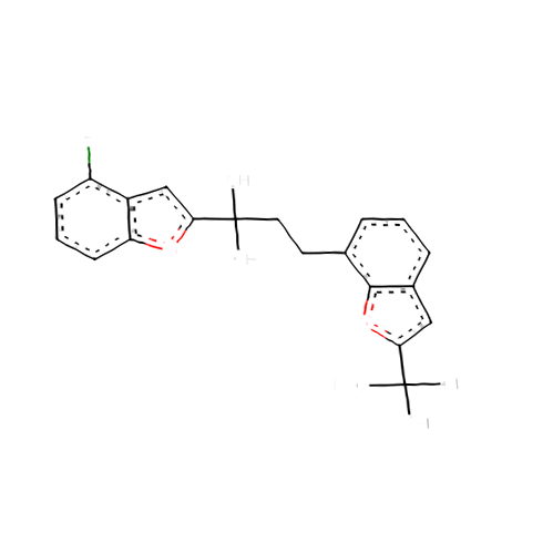 CC(C)(C)c1cc2cccc(CCC(C)(C)c3cc4c(F)cccc4o3)c2o1